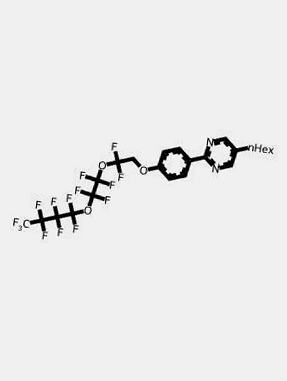 CCCCCCc1cnc(-c2ccc(OCC(F)(F)OC(F)(F)C(F)(F)OC(F)(F)C(F)(F)C(F)(F)C(F)(F)F)cc2)nc1